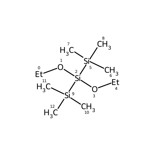 CCO[Si](OCC)([Si](C)(C)C)[Si](C)(C)C